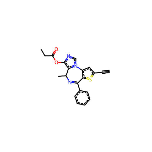 C#Cc1cc2c(s1)C(c1ccccc1)=NC(C)c1c(OC(=O)CC)ncn1-2